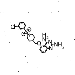 Nc1nc(N)c2c(OCC3CCN(S(=O)(=O)c4cccc(Cl)c4)CC3)cccc2n1